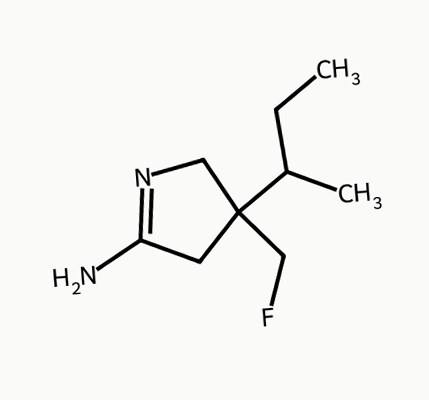 CCC(C)C1(CF)CN=C(N)C1